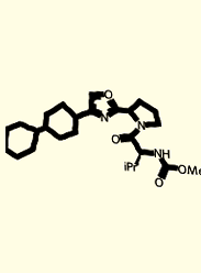 COC(=O)N[C@H](C(=O)N1CCCC1c1nc(C2CCC(C3CCCCC3)CC2)co1)C(C)C